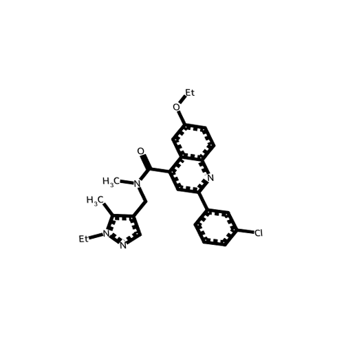 CCOc1ccc2nc(-c3cccc(Cl)c3)cc(C(=O)N(C)Cc3cnn(CC)c3C)c2c1